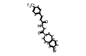 O=C(/C=C/c1ccc(C(F)(F)F)cc1)NCC(=O)N1CCc2ccc(Br)cc2CC1